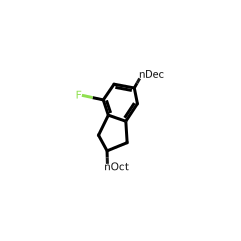 CCCCCCCCCCc1cc(F)c2c(c1)CC(CCCCCCCC)C2